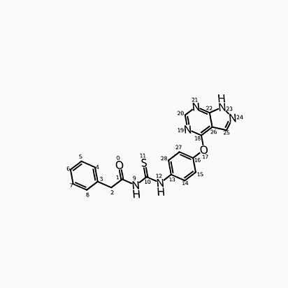 O=C(Cc1ccccc1)NC(=S)Nc1ccc(Oc2ncnc3[nH]ncc23)cc1